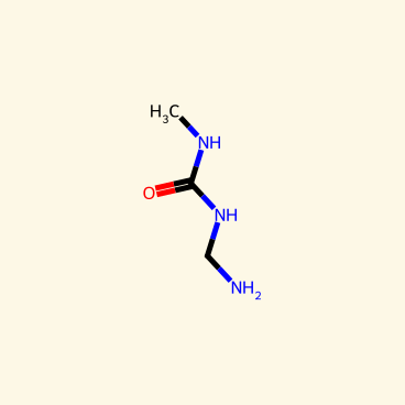 CNC(=O)NCN